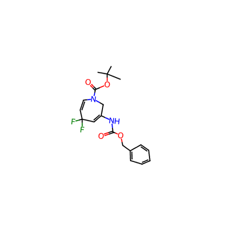 CC(C)(C)OC(=O)N1C=CC(F)(F)C=C(NC(=O)OCc2ccccc2)C1